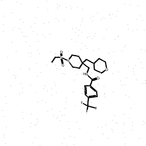 CCS(=O)(=O)N1CCC(CNC(=O)c2ccc(C(F)(F)F)cc2)(CC2CCOCC2)CC1